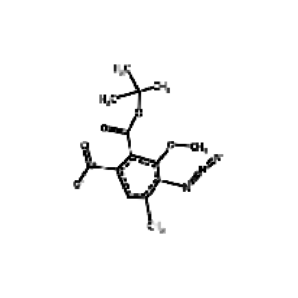 COc1c(N=[N+]=[N-])c(C)cc([N+](=O)[O-])c1C(=O)OC(C)(C)C